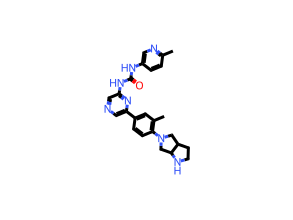 Cc1ccc(NC(=O)Nc2cncc(-c3ccc(N4CC5CCNC5C4)c(C)c3)n2)cn1